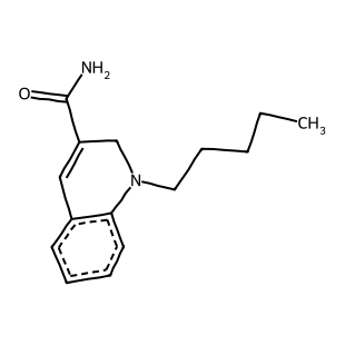 CCCCCN1CC(C(N)=O)=Cc2ccccc21